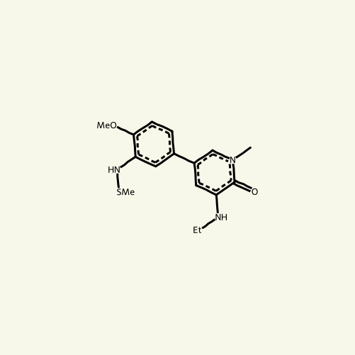 CCNc1cc(-c2ccc(OC)c(NSC)c2)cn(C)c1=O